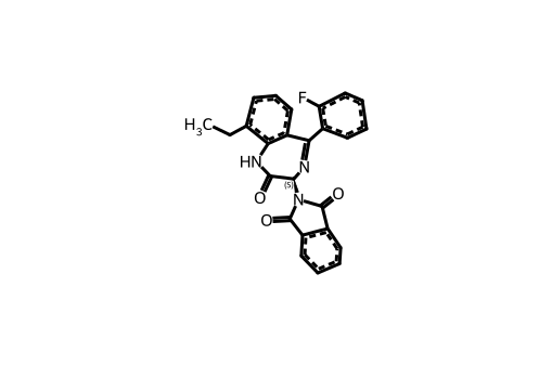 CCc1cccc2c1NC(=O)[C@H](N1C(=O)c3ccccc3C1=O)N=C2c1ccccc1F